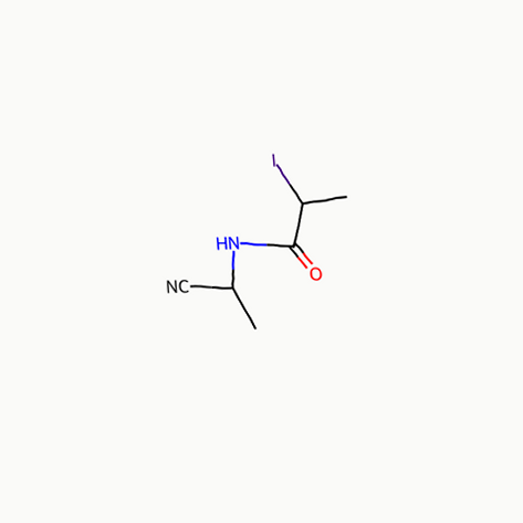 CC(C#N)NC(=O)C(C)I